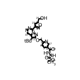 CC(C)(C)c1c(OCc2ccc(C(=O)NNS(C)(=O)=O)cn2)nn2c(-c3cc(CO)on3)nncc12